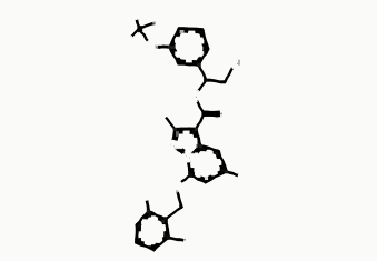 Cc1cc(OCc2c(F)cccc2F)n2nc(C)c(C(=O)NC(CN)c3cccc(OC(F)(F)F)c3)c2c1